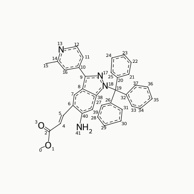 COC(=O)/C=C/c1cc2c(-c3ccnc(C)c3)nn(C(c3ccccc3)(c3ccccc3)c3ccccc3)c2cc1N